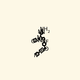 Nc1ncc(-c2nc(N3CCOCC3)nc3c2ccn3-c2ccc(C(=O)N3CCN(c4ccncc4)CC3)cc2F)cn1